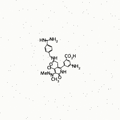 CNN(C)c1c(Cl)c(CC(=O)NCc2ccc(C(=N)N)cc2)c(-c2cc(N)cc(C(=O)O)c2)[nH]c1=O